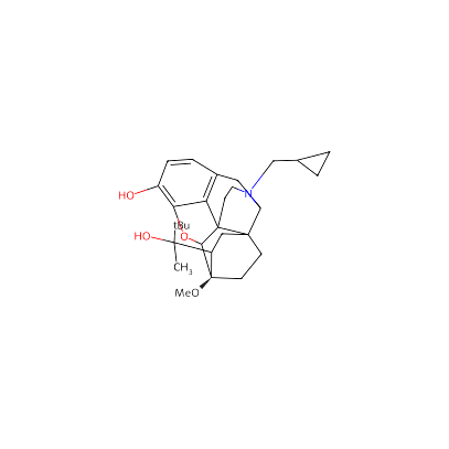 CO[C@]12CCC3(CC1C(C)(O)C(C)(C)C)C1Cc4ccc(O)c5c4C3(CCN1CC1CC1)C2O5